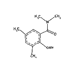 COc1c(C)cc(C)cc1C(=O)N(C)C